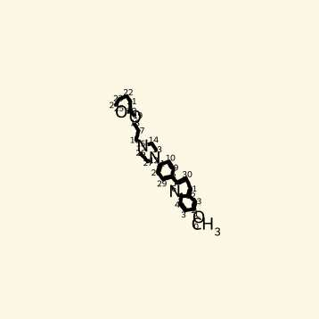 COc1ccc2nc(-c3ccc(N4CCN(CCCOC5CCCCO5)CC4)cc3)ccc2c1